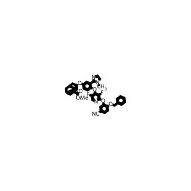 COC(=O)C12CC3CC(CC(Oc4ccc(Oc5c(F)cnc(Oc6cc(C#N)ccc6OCc6ccccc6)c5F)c(C5N=CCN5C)c4)(C3)C1)C2